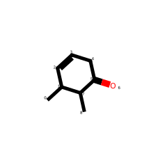 CC1C=CCC(=O)C1C